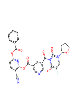 N#Cc1ccc(OC(=O)c2ccccc2)nc1OC(=O)c1cncc(C(=O)n2c(=O)c(F)cn(C3CCCO3)c2=O)c1